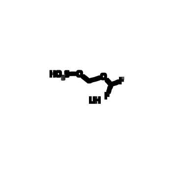 O=S(=O)(O)OCOC(F)F.[LiH]